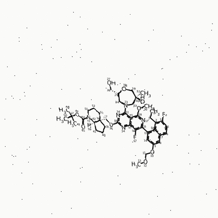 CCc1c(F)ccc2cc(OCOC)cc(-c3nc(OC)c4c(N5C[C@H](CO)OC[C@@](C)(O)C5)nc(OC[C@]56CCC[C@H]5N(C(=O)OC(C)(C)C)CCC6)nc4c3F)c12